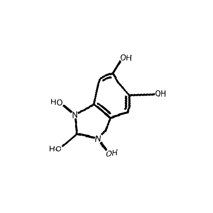 Oc1cc2c(cc1O)N(O)C(O)N2O